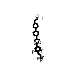 CCCC1CCC(C2CCC(C3COC(c4cc(F)c(/C=C/C(F)(F)F)c(F)c4)OC3)CC2)CC1